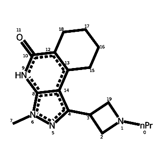 CCCN1CC(c2nn(C)c3[nH]c(=O)c4c(c23)CCCC4)C1